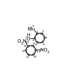 CC(C)(C)c1ccccc1O.O=[N+]([O-])c1cccc([N+](=O)[O-])c1